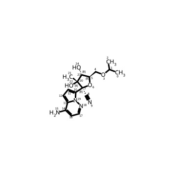 CC(C)OC[C@H]1O[C@@](C#N)(c2ccc3c(N)ccnn23)[C@](C)(O)[C@@H]1O